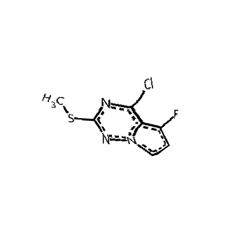 CSc1nc(Cl)c2c(F)ccn2n1